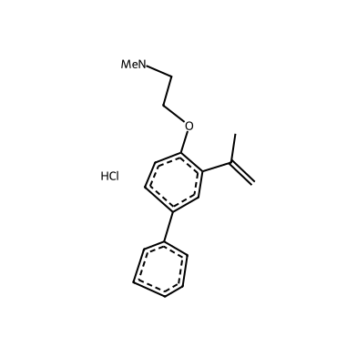 C=C(C)c1cc(-c2ccccc2)ccc1OCCNC.Cl